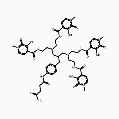 Cn1ccc(C(=O)NCCN(CCNC(=O)c2ccn(C)c(=O)c2O)CC(Cc2ccc(NC(=O)CCC(N)=O)cc2)CN(CCNC(=O)c2ccn(C)c(=O)c2O)CCNC(=O)c2ccn(C)c(=O)c2O)c(O)c1=O